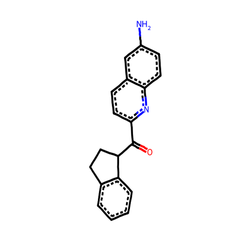 Nc1ccc2nc(C(=O)C3CCc4ccccc43)ccc2c1